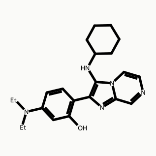 CCN(CC)c1ccc(-c2nc3cnccn3c2NC2CCCCC2)c(O)c1